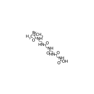 CC(C)(Br)C(=O)NCCNC(=O)CNC(=O)CNC(=O)CNC(=O)O